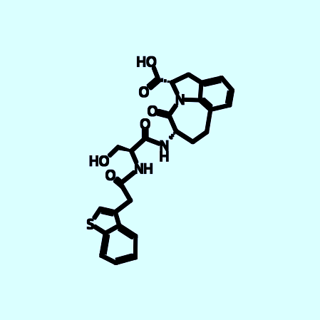 O=C(Cc1csc2ccccc12)N[C@@H](CO)C(=O)N[C@H]1CCc2cccc3c2N(C1=O)[C@H](C(=O)O)C3